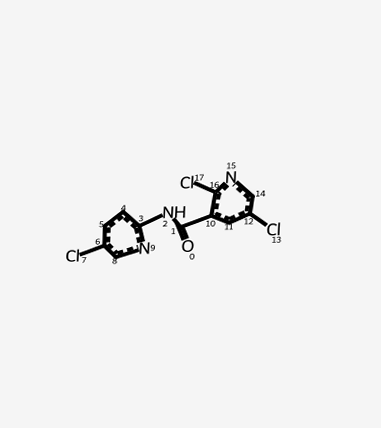 O=C(Nc1ccc(Cl)cn1)c1cc(Cl)cnc1Cl